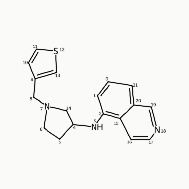 c1cc(NC2CCN(Cc3ccsc3)C2)c2ccncc2c1